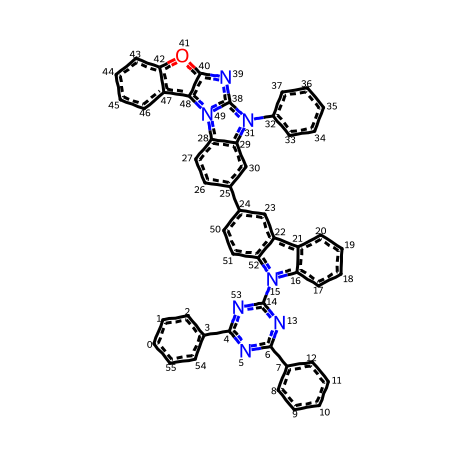 c1ccc(-c2nc(-c3ccccc3)nc(-n3c4ccccc4c4cc(-c5ccc6c(c5)n(-c5ccccc5)c5nc7oc8ccccc8c7n65)ccc43)n2)cc1